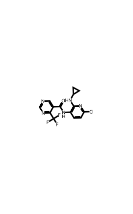 O=C(Nc1ccc(Cl)nc1NC1CC1)c1cncnc1C(F)(F)F